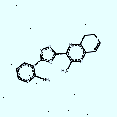 Nc1ccccc1-c1nnc(-c2nc3c(nc2N)C=CCC3)o1